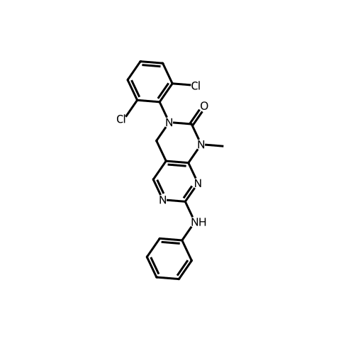 CN1C(=O)N(c2c(Cl)cccc2Cl)Cc2cnc(Nc3ccccc3)nc21